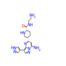 NCCNC(=O)[C@@H]1CC[C@H](c2cc(N)n3ncc(-c4cn[nH]c4)c3n2)CN1